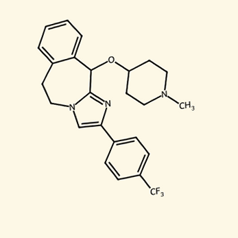 CN1CCC(OC2c3ccccc3CCn3cc(-c4ccc(C(F)(F)F)cc4)nc32)CC1